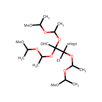 CCCCCCCC(CC)(OC(C)OC(C)OC)C(C=O)(OC(C)OC(C)OC)OC(C)OC(C)OC